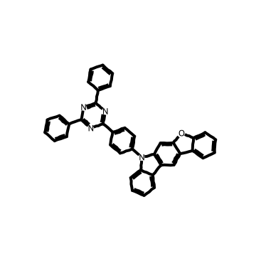 c1ccc(-c2nc(-c3ccccc3)nc(-c3ccc(-n4c5ccccc5c5cc6c(cc54)oc4ccccc46)cc3)n2)cc1